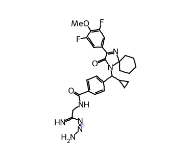 COc1c(F)cc(C2=NC3(CCCCC3)N(C(c3ccc(C(=O)NCC(=N)/N=N\N)cc3)C3CC3)C2=O)cc1F